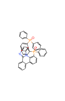 O=P(c1ccccc1)(c1ccccc1)c1ccc2nc3c4ccccc4c4cccc(P(=O)(c5ccccc5)c5ccccc5)c4n3c2c1